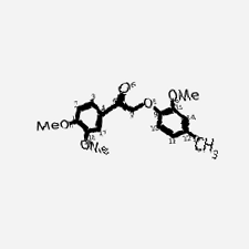 COc1ccc(C(=O)COc2ccc(C)cc2OC)cc1OC